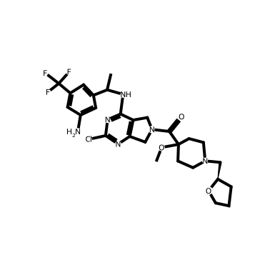 COC1(C(=O)N2Cc3nc(Cl)nc(NC(C)c4cc(N)cc(C(F)(F)F)c4)c3C2)CCN(C[C@H]2CCCO2)CC1